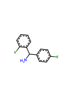 NC(c1ccc(F)cc1)c1ccccc1F